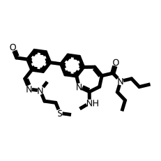 CCCN(CCC)C(=O)C1=Cc2ccc(-c3ccc(C=O)c(/C=N\N(C)CCSC)c3)cc2N=C(NC)C1